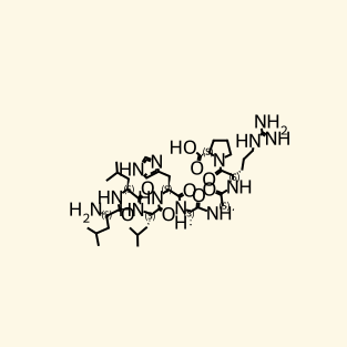 CC(C)C[C@H](NC(=O)[C@H](CC(C)C)NC(=O)[C@@H](N)CC(C)C)C(=O)N[C@@H](Cc1c[nH]cn1)C(=O)N[C@@H](C)C(=O)N[C@@H](C)C(=O)N[C@@H](CCCNC(=N)N)C(=O)N1CCC[C@H]1C(=O)O